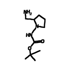 CC(C)(C)OC(=O)NN1CCCC1CN